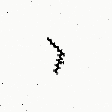 CCCCCCCCC(C)CCCNCCCC